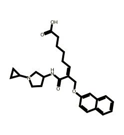 O=C(O)CCCCC=C(COc1ccc2ccccc2c1)C(=O)NC1CCN(C2CC2)C1